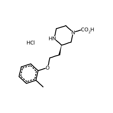 Cc1ccccc1OCC[C@@H]1CN(C(=O)O)CCN1.Cl